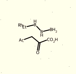 BBBCC.CC(=O)CC(=O)C(=O)O.[Rh]